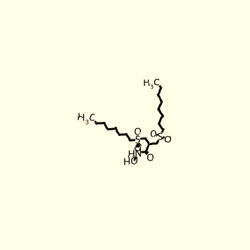 CCCCCCCCS(=O)(=O)CC(CS(=O)(=O)CCCCCCCC)C(=O)NO